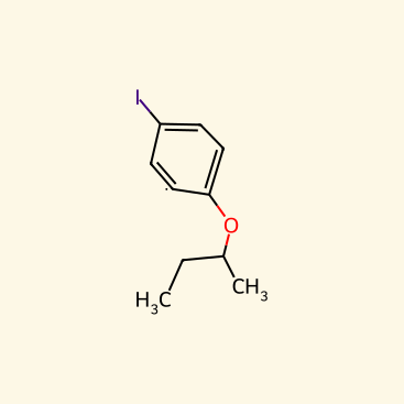 CCC(C)Oc1[c]cc(I)cc1